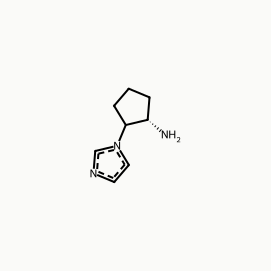 N[C@H]1CCCC1n1ccnc1